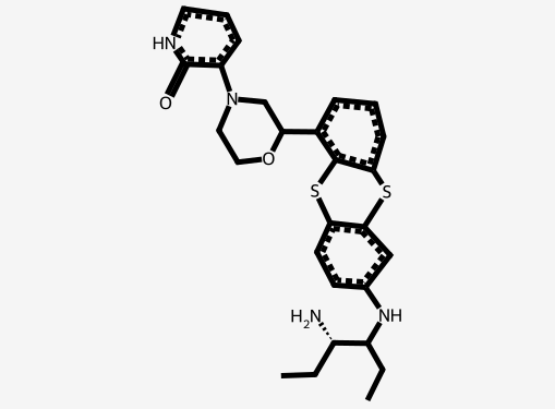 CCC(Nc1ccc2c(c1)Sc1cccc(C3CN(c4ccc[nH]c4=O)CCO3)c1S2)[C@@H](N)CC